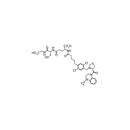 O=C(O)CNC(=O)[C@H](CS)NC(=O)CC[C@H](NC(=O)CCCCc1cc(Cl)c(CN2CSC[C@H]2C(=O)N2CCN(C3CC3)c3ccccc32)cc1Cl)C(=O)O